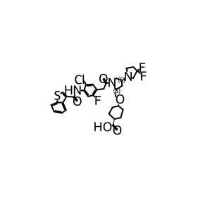 O=C(Nc1cc(F)c(CC(=O)N2C[C@@H](N3CCC(F)(F)C3)C[C@H]2CO[C@H]2CC[C@H](C(=O)O)CC2)cc1Cl)c1csc2ccccc12